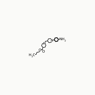 CCCCOC(=O)C1CCN(CC2CCN(c3ccc(N)cc3)CC2)CC1